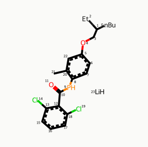 CCCCC(CC)COc1ccc(PC(=O)c2c(Cl)cccc2Cl)c(C)c1.[LiH]